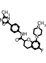 Cc1noc(-c2ccc(NC(=O)C3CCc4cc(F)cc(N5CCN(C)CC5)c4O3)cc2)n1